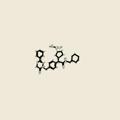 O=C(NCC1CCCCC1)C(c1ccc(CN2N=C(c3ccccc3)OCC2=O)cc1)C1CCCC1.O=C(O)O